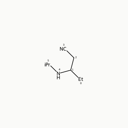 CCC(CC#N)NC(C)C